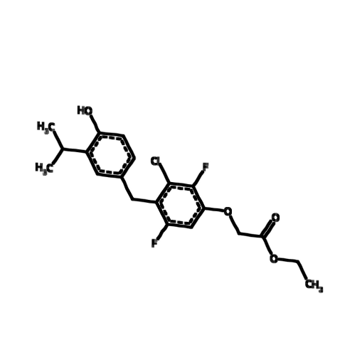 CCOC(=O)COc1cc(F)c(Cc2ccc(O)c(C(C)C)c2)c(Cl)c1F